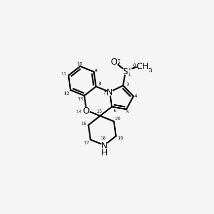 C[S+]([O-])c1ccc2n1-c1ccccc1OC21CCNCC1